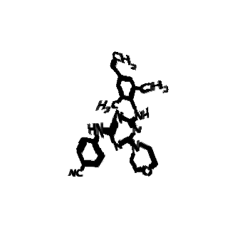 C=Cc1cc(C)c(Nc2nc(Nc3ccc(C#N)cc3)nc(N3CCOCC3)n2)c(C)c1